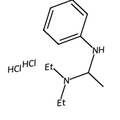 CCN(CC)C(C)Nc1ccccc1.Cl.Cl